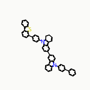 C1=Cc2c(n(-c3ccc(-c4cccc5c4sc4ccccc45)cc3)c3ccc(-c4ccc5c(c4)c4ccccc4n5-c4ccc(-c5ccccc5)cc4)cc23)CC1